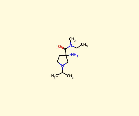 CCN(C)C(=O)C1(N)CCN(C(C)C)C1